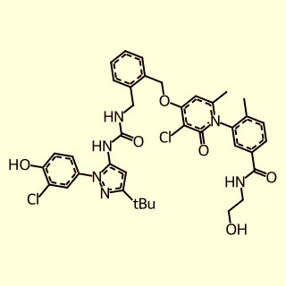 Cc1ccc(C(=O)NCCO)cc1-n1c(C)cc(OCc2ccccc2CNC(=O)Nc2cc(C(C)(C)C)nn2-c2ccc(O)c(Cl)c2)c(Cl)c1=O